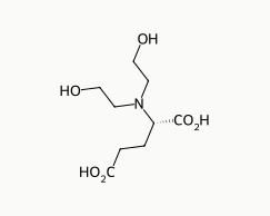 O=C(O)CC[C@@H](C(=O)O)N(CCO)CCO